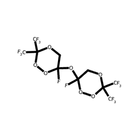 FC1(OC2(F)COC(C(F)(F)F)(C(F)(F)F)OO2)COC(C(F)(F)F)(C(F)(F)F)OO1